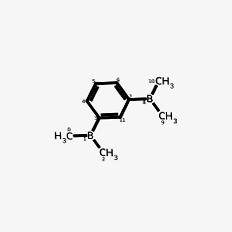 CB(C)c1cccc(B(C)C)c1